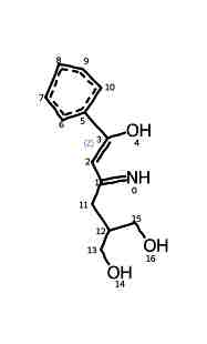 N=C(/C=C(\O)c1ccccc1)CC(CO)CO